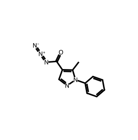 Cc1c(C(=O)N=[N+]=[N-])cnn1-c1ccccc1